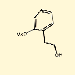 COc1c[c]ccc1CCO